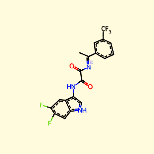 C/C(=N\C(=O)C(=O)Nc1c[nH]c2cc(F)c(F)cc12)c1cccc(C(F)(F)F)c1